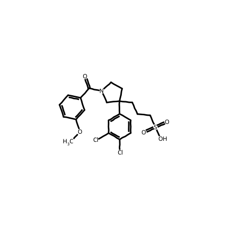 COc1cccc(C(=O)N2CCC(CCCS(=O)(=O)O)(c3ccc(Cl)c(Cl)c3)C2)c1